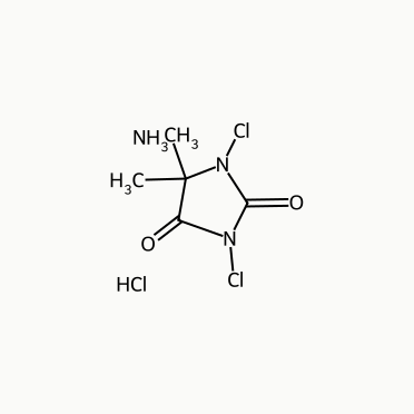 CC1(C)C(=O)N(Cl)C(=O)N1Cl.Cl.N